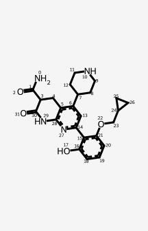 NC(=O)C1Cc2c(C3CCNCC3)cc(-c3c(O)cccc3OCC3CC3)nc2NC1=O